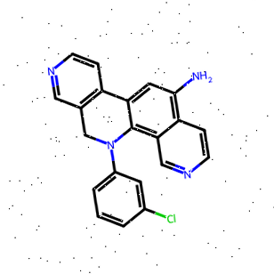 Nc1cc2c(c3cnccc13)N(c1cccc(Cl)c1)Cc1cnccc1-2